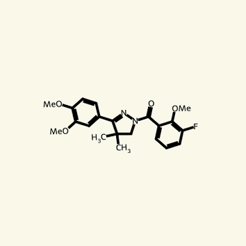 COc1ccc(C2=NN(C(=O)c3cccc(F)c3OC)CC2(C)C)cc1OC